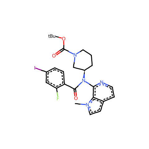 Cn1ccc2ccnc(N(C(=O)c3ccc(I)cc3F)[C@@H]3CCCN(C(=O)OC(C)(C)C)C3)c21